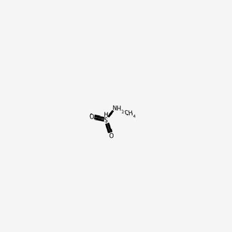 C.N[SH](=O)=O